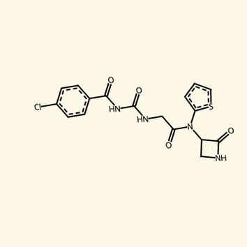 O=C(NCC(=O)N(c1cccs1)C1CNC1=O)NC(=O)c1ccc(Cl)cc1